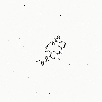 C#CCN=S(C)(=O)c1cccc(Oc2cc(Cl)c(N=CN(C)CC)cc2C)c1